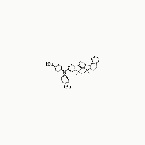 CC(C)(C)c1ccc(N(c2ccc(C(C)(C)C)cc2)c2ccc3c(c2)C(C)(C)c2c-3ccc3c2C(C)(C)c2ccc4ccccc4c2-3)cc1